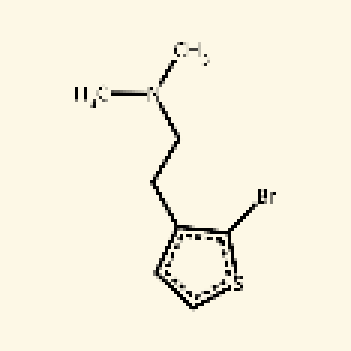 CN(C)CCc1ccsc1Br